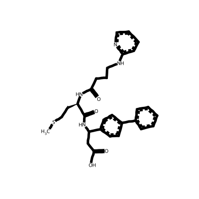 CSCC[C@@H](NC(=O)CCCNc1ccccn1)C(=O)NC(CC(=O)O)c1ccc(-c2ccccc2)cc1